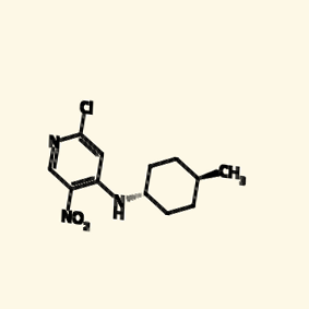 C[C@H]1CC[C@H](Nc2cc(Cl)ncc2[N+](=O)[O-])CC1